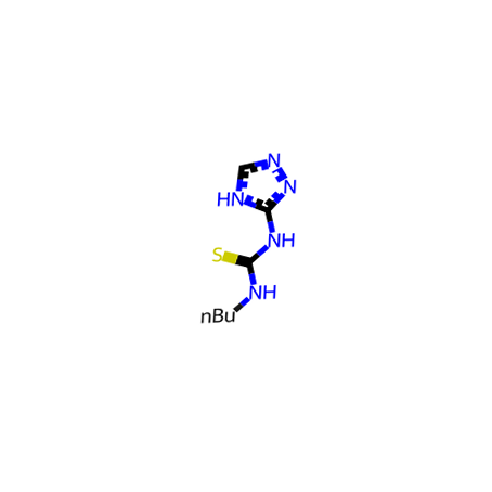 CCCCNC(=S)Nc1nnc[nH]1